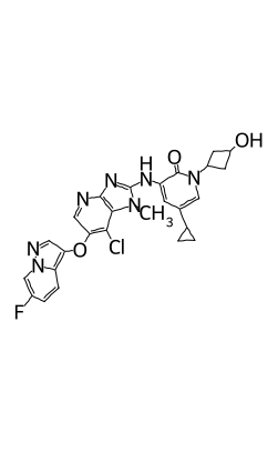 Cn1c(Nc2cc(C3CC3)cn(C3CC(O)C3)c2=O)nc2ncc(Oc3cnn4cc(F)ccc34)c(Cl)c21